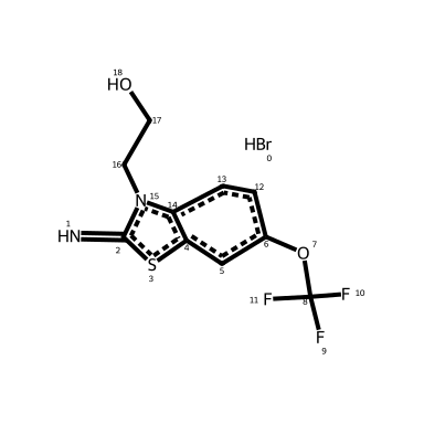 Br.N=c1sc2cc(OC(F)(F)F)ccc2n1CCO